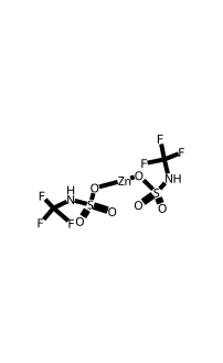 O=S(=O)(NC(F)(F)F)[O][Zn][O]S(=O)(=O)NC(F)(F)F